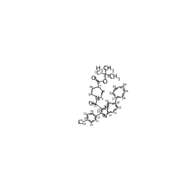 CC(C)(C)OC(=O)C1CCN(C(=O)c2c(-c3ccc(Cl)cc3)nc3ccc(-c4ccccc4)cn23)CC1